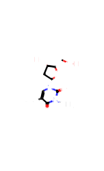 Cn1c(=O)c(C(F)(F)F)cn([C@@H]2C[C@H](O)[C@H](CO)O2)c1=O